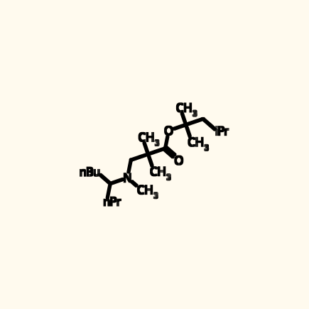 CCCCC(CCC)N(C)CC(C)(C)C(=O)OC(C)(C)CC(C)C